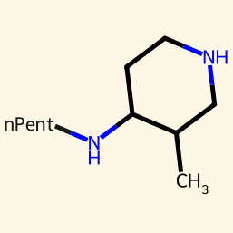 CCCCCNC1CCNCC1C